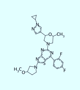 COC1CCN(c2nc3nc(N4CC(C)OC(c5cnn(C6CC6)c5)C4)nc(-c4ccc(F)cc4F)c3s2)C1